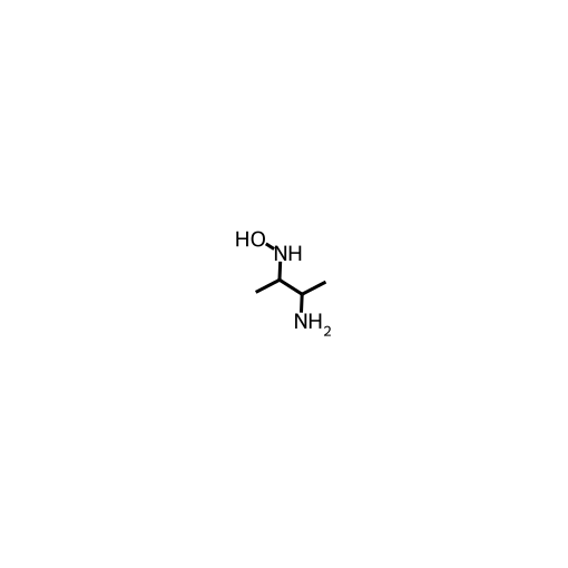 CC(N)C(C)NO